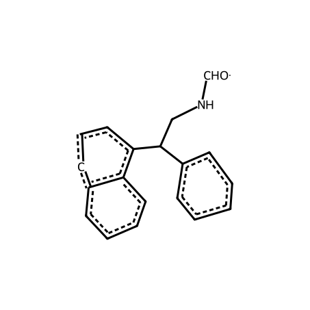 O=[C]NCC(c1ccccc1)c1cccc2ccccc12